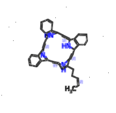 C/C=C\CCc1c/c2[nH]/c1=C\C1N/C(=C\c3[nH]c(c4ccccc34)/C=C3N=C(/C=2)c2ccccc2\3)C2=C1CCC=C2